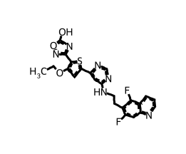 CCOc1cc(-c2cc(NCCc3c(F)cc4ncccc4c3F)ncn2)sc1-c1noc(O)n1